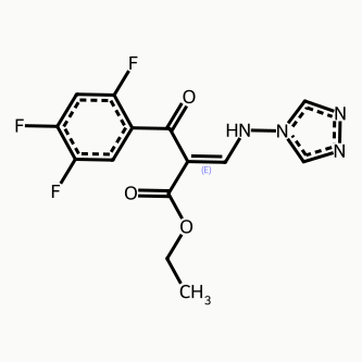 CCOC(=O)/C(=C/Nn1cnnc1)C(=O)c1cc(F)c(F)cc1F